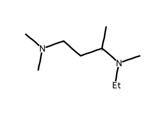 CCN(C)[C](C)CCN(C)C